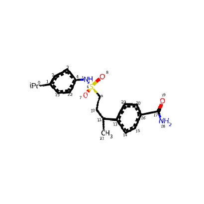 CC(C)c1ccc(NS(=O)(=O)CCC(C)c2ccc(C(N)=O)cc2)cc1